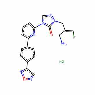 Cl.NC/C(=C\F)Cn1ncn(-c2cccc(-c3ccc(-c4cnon4)cc3)n2)c1=O